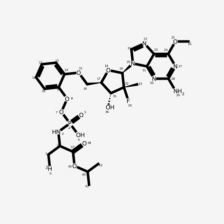 [2H]CC(NP(=O)(O)OOc1ccccc1OC[C@H]1O[C@@H](n2cnc3c(OC)nc(N)nc32)[C@](C)(F)[C@@H]1O)C(=O)OC(C)C